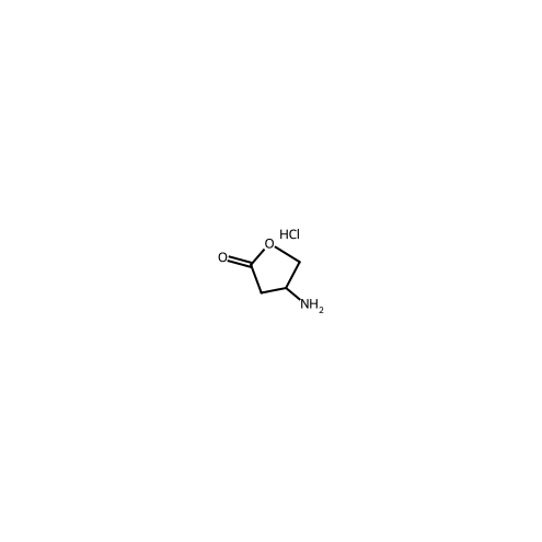 Cl.NC1COC(=O)C1